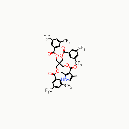 Cc1c[nH]c(C)c1C(=O)OCC(COC(=O)c1cc(C(F)(F)F)cc(C(F)(F)F)c1)(COC(=O)c1cc(C(F)(F)F)cc(C(F)(F)F)c1)COC(=O)c1cc(C(F)(F)F)cc(C(F)(F)F)c1